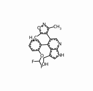 Cc1noc(C)c1-c1cnc2[nH]cc(CO)c2c1-c1ccccc1OC(F)F